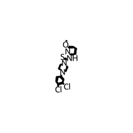 COc1cccc(NC(=S)N2CCN(c3ccc(Cl)c(Cl)c3)CC2)n1